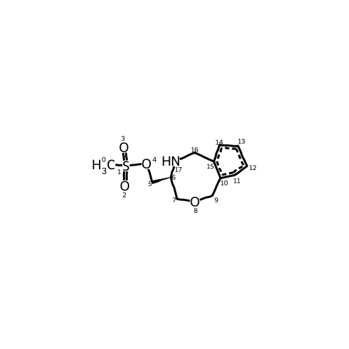 CS(=O)(=O)OC[C@@H]1COCc2ccccc2CN1